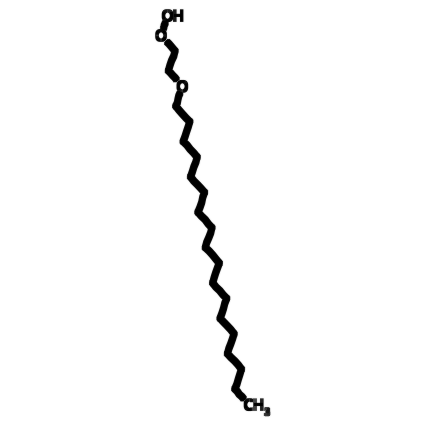 CCCCCCCCCCCCCCCCCCOCCOO